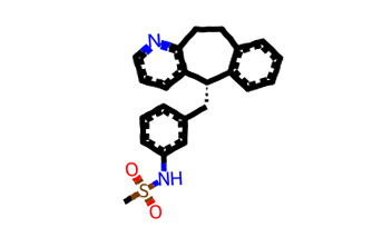 CS(=O)(=O)Nc1cccc(C[C@H]2c3ccccc3CCc3ncccc32)c1